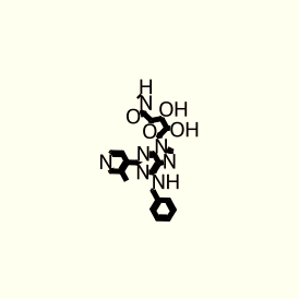 CNC(=O)C1OC(n2cnc3c(NCc4ccccc4)nc(-c4ccncc4C)nc32)C(O)C1O